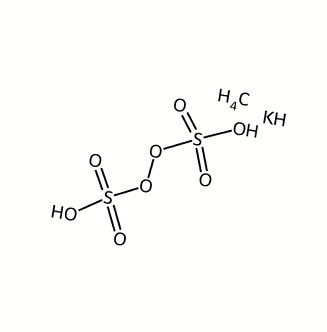 C.O=S(=O)(O)OOS(=O)(=O)O.[KH]